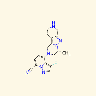 C[C@@H]1CN(c2ccc(C#N)n3ncc(F)c23)Cc2c3c(nn21)CNCC3